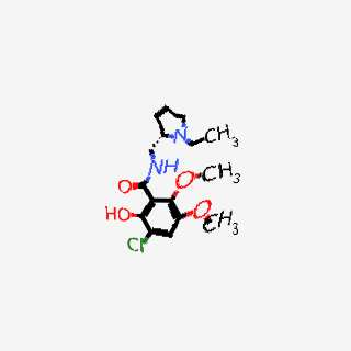 CCN1CCC[C@H]1CNC(=O)c1c(O)c(Cl)cc(OC)c1OC